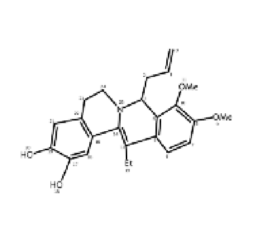 C=CCC1c2c(ccc(OC)c2OC)C(CC)=C2c3cc(O)c(O)cc3CCN21